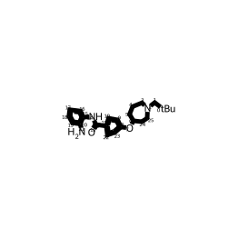 CC(C)(C)CN1CCCC(Oc2ccc(C(=O)Nc3ccccc3N)cc2)CC1